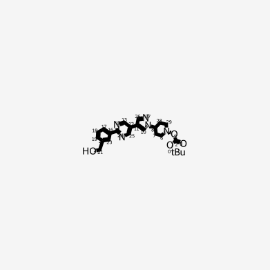 CC(C)(C)OC(=O)ON1CCC(n2cc(-c3cnc(-c4cccc(CO)c4)nc3)cn2)CC1